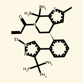 BC1(B)c2sc(C)cc2[C@H](c2ccccc2-c2cn(CC)nc2C(P)(P)P)CN1C(=O)C=C